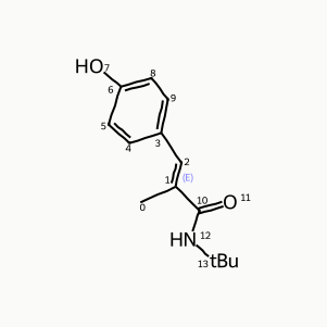 C/C(=C\c1ccc(O)cc1)C(=O)NC(C)(C)C